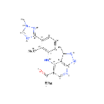 CNC(=O)c1cnc2[nH]nc(C)c2c1Nc1cccc(-c2ncn(C)n2)c1OC